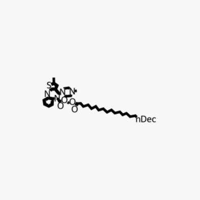 CCCCCCCCCCCCCCCCCCCCCCCCCC(=O)OCOC(=O)N1C(N2CCN(C)CC2)=c2cc(C)sc2=Nc2ccccc21